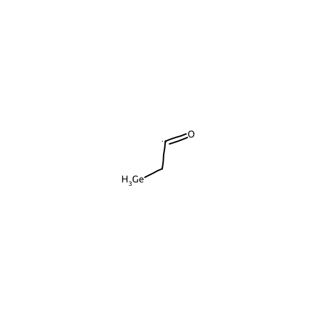 O=[C][CH2][GeH3]